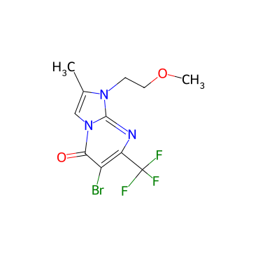 COCCn1c(C)cn2c(=O)c(Br)c(C(F)(F)F)nc12